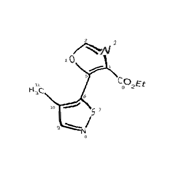 CCOC(=O)c1ncoc1-c1sncc1C